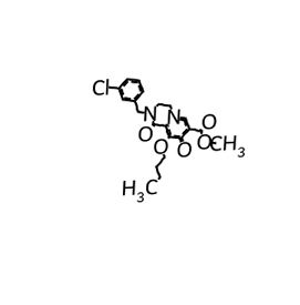 CCCCOc1c2n(cc(C(=O)OC)c1=O)CCN(Cc1cccc(Cl)c1)C2=O